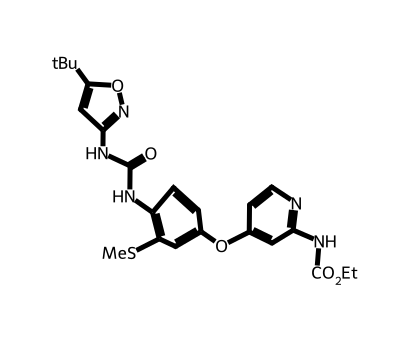 CCOC(=O)Nc1cc(Oc2ccc(NC(=O)Nc3cc(C(C)(C)C)on3)c(SC)c2)ccn1